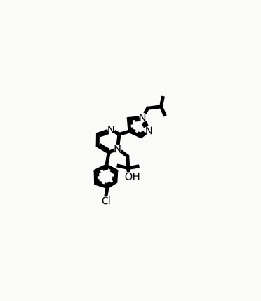 CC(C)Cn1cc(C2N=CC=C(c3ccc(Cl)cc3)N2CC(C)(C)O)cn1